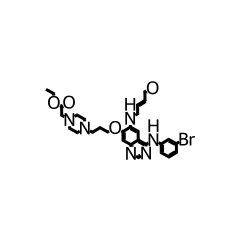 CCOC(=O)CN1CCN(CCCOc2cc3ncnc(Nc4cccc(Br)c4)c3cc2NCC=CC=O)CC1